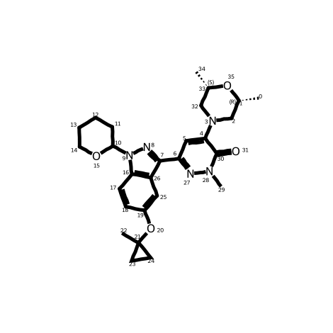 C[C@@H]1CN(c2cc(-c3nn(C4CCCCO4)c4ccc(OC5(C)CC5)cc34)nn(C)c2=O)C[C@H](C)O1